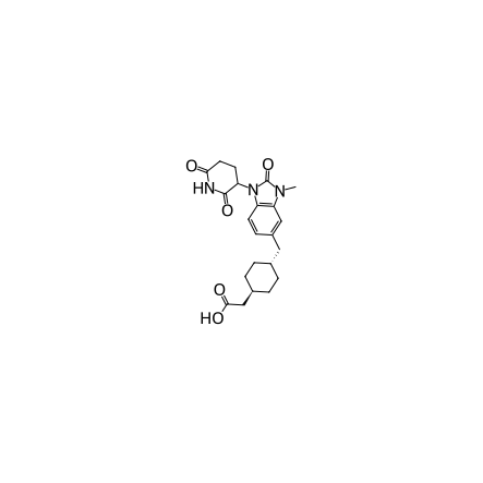 Cn1c(=O)n(C2CCC(=O)NC2=O)c2ccc(C[C@H]3CC[C@H](CC(=O)O)CC3)cc21